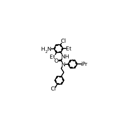 CCc1c(N)cc(Cl)c(CC)c1NC(=O)N(CCc1ccc(Cl)cc1)c1ccc(C(C)C)cc1